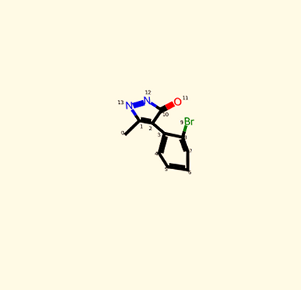 CC1=C(c2ccccc2Br)C(=O)N=N1